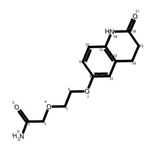 NC(=O)COCCOc1ccc2c(c1)CCC(=O)N2